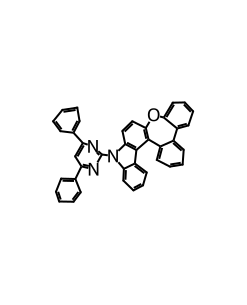 c1ccc(-c2cc(-c3ccccc3)nc(-n3c4ccccc4c4c5c(ccc43)Oc3ccccc3-c3ccccc3-5)n2)cc1